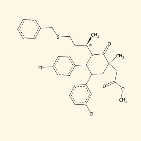 COC(=O)CC1(C)CC(c2cccc(Cl)c2)C(c2ccc(Cl)cc2)N([C@H](C)CCSCc2ccccc2)C1=O